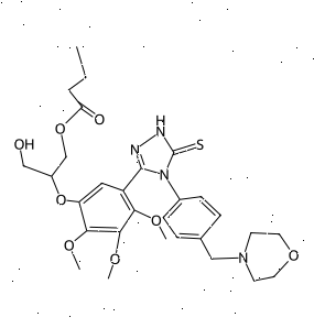 CCCC(=O)OCC(CO)Oc1cc(-c2n[nH]c(=S)n2-c2ccc(CN3CCOCC3)cc2)c(OC)c(OC)c1OC